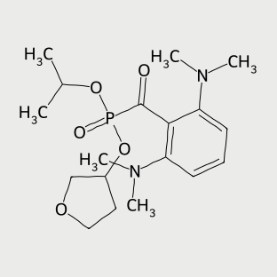 CC(C)OP(=O)(OC1CCOC1)C(=O)c1c(N(C)C)cccc1N(C)C